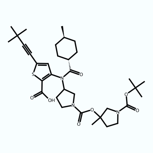 CC(C)(C)C#Cc1cc(N(C(=O)[C@H]2CC[C@H](C)CC2)C2CCN(C(=O)OC3(C)CCN(C(=O)OC(C)(C)C)C3)C2)c(C(=O)O)s1